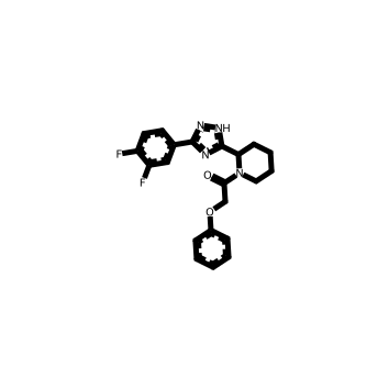 O=C(COc1ccccc1)N1CCCCC1c1nc(-c2ccc(F)c(F)c2)n[nH]1